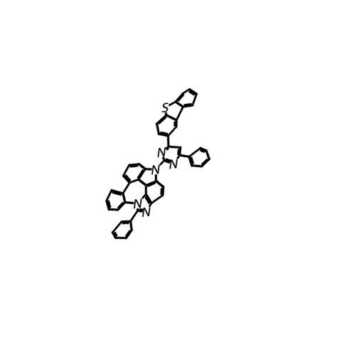 c1ccc(-c2cc(-c3ccc4sc5ccccc5c4c3)nc(-n3c4cccc5c6ccccc6n6c(-c7ccccc7)nc7ccc3c(c54)c76)n2)cc1